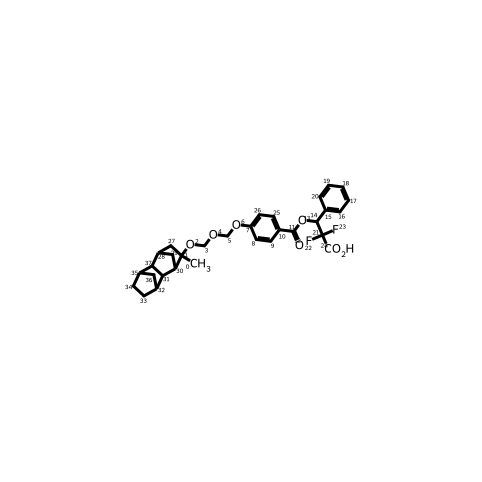 CC1(OCOCOc2ccc(C(=O)OC(c3ccccc3)C(F)(F)C(=O)O)cc2)CC2CC1C1C3CCC(C3)C21